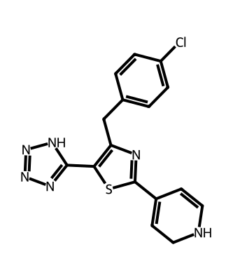 Clc1ccc(Cc2nc(C3=CCNC=C3)sc2-c2nnn[nH]2)cc1